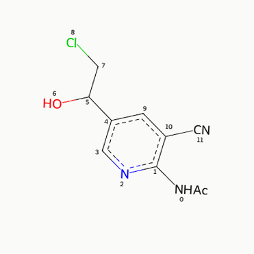 CC(=O)Nc1ncc(C(O)CCl)cc1C#N